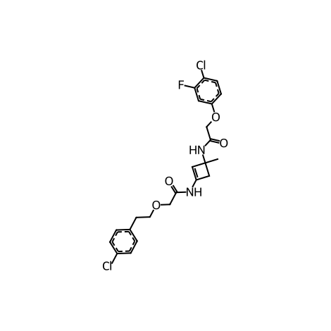 CC1(NC(=O)COc2ccc(Cl)c(F)c2)C=C(NC(=O)COCCc2ccc(Cl)cc2)C1